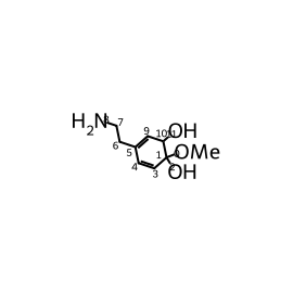 COC1(O)C=CC(CCN)=CC1O